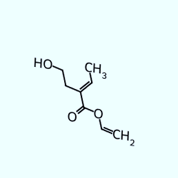 C=COC(=O)C(=CC)CCO